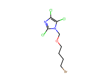 Clc1nc(Cl)n(COCCCCBr)c1Cl